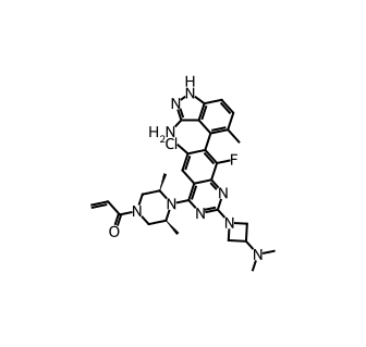 C=CC(=O)N1C[C@@H](C)N(c2nc(N3CC(N(C)C)C3)nc3c(F)c(-c4c(C)ccc5[nH]nc(N)c45)c(Cl)cc23)[C@@H](C)C1